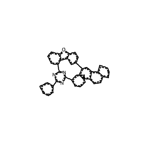 c1ccc(-c2nc(-c3ccccc3)nc(-c3cccc4oc5ccc(-c6ccc7ccc8ccccc8c7c6)cc5c34)n2)cc1